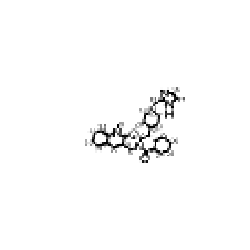 Cn1c(=O)c(CN(CCC2CCN(Cc3ncc[nH]3)CC2)C(=O)C2CCCCC2)cc2ccccc21